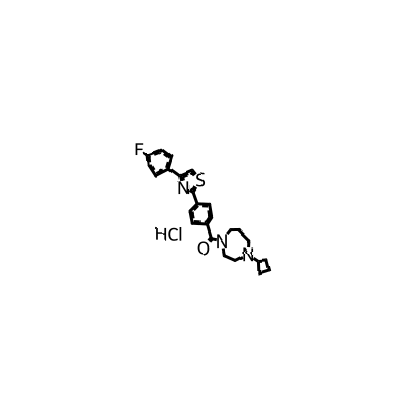 Cl.O=C(c1ccc(-c2nc(-c3ccc(F)cc3)cs2)cc1)N1CCCN(C2CCC2)CC1